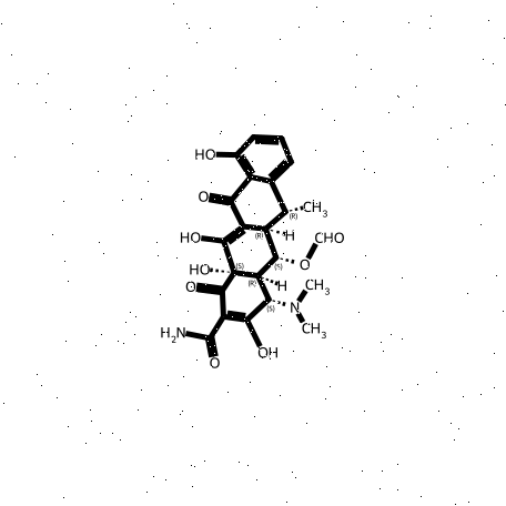 C[C@H]1c2cccc(O)c2C(=O)C2=C(O)[C@]3(O)C(=O)C(C(N)=O)=C(O)[C@@H](N(C)C)[C@@H]3[C@@H](OC=O)[C@@H]21